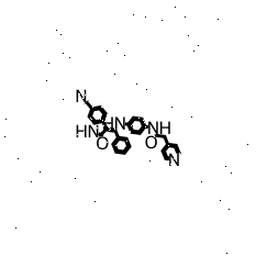 N#Cc1ccc2c(c1)NC(=O)C2=C(Nc1ccc(NC(=O)Cc2ccncc2)cc1)c1ccccc1